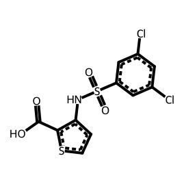 O=C(O)c1sccc1NS(=O)(=O)c1cc(Cl)cc(Cl)c1